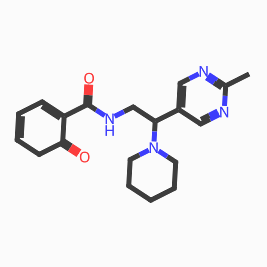 Cc1ncc(C(CNC(=O)C2=CC=CCC2=O)N2CCCCC2)cn1